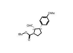 COc1ccc([C@@H]2CCN(C(=O)OC(C)(C)C)[C@@H]2C=O)cc1